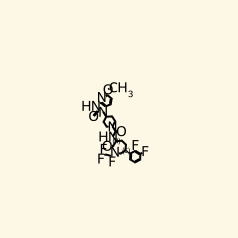 COc1ccc2c(n1)[nH]c(=O)n2C1CCN(C(=O)N[C@@H]2CC[C@@H](c3cccc(F)c3F)CN(C(F)C(F)F)C2=O)CC1